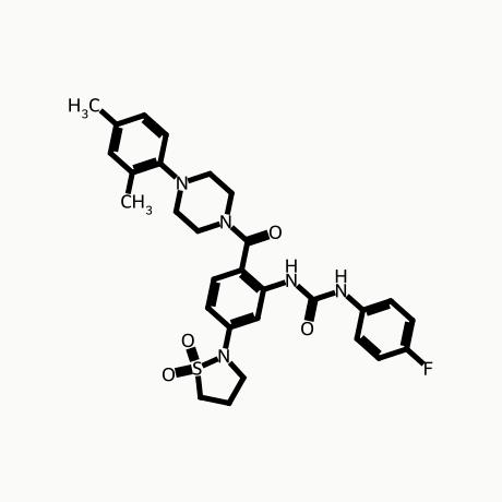 Cc1ccc(N2CCN(C(=O)c3ccc(N4CCCS4(=O)=O)cc3NC(=O)Nc3ccc(F)cc3)CC2)c(C)c1